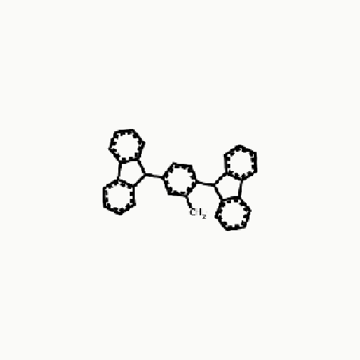 [CH2]c1cc(C2c3ccccc3-c3ccccc32)ccc1C1c2ccccc2-c2ccccc21